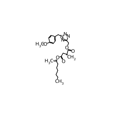 C=C(CC(=O)O[C@H](C)CCCCCC)C(=O)OCc1nnn(Cc2ccc(OC)cc2)n1